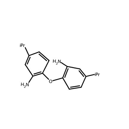 CC(C)c1ccc(Oc2ccc(C(C)C)cc2N)c(N)c1